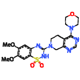 COc1cc2c(cc1OC)S(=O)(=O)NC(N1CCc3c(ncnc3N3CCOCC3)C1)=N2